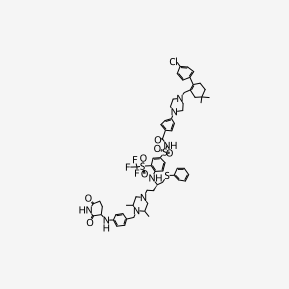 CC1CN(CC[C@H](CSc2ccccc2)Nc2ccc(S(=O)(=O)NC(=O)c3ccc(N4CCN(CC5=C(c6ccc(Cl)cc6)CCC(C)(C)C5)CC4)cc3)cc2S(=O)(=O)C(F)(F)F)CC(C)N1Cc1ccc(NC2CCC(=O)NC2=O)cc1